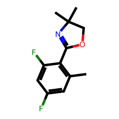 Cc1cc(F)cc(F)c1C1=NC(C)(C)CO1